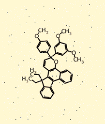 CCC1(CC)c2ccccc2-c2c1c1c(c3ccccc23)OC(c2ccc(OC)cc2)(c2cc(OC)cc(OC)c2)C=C1